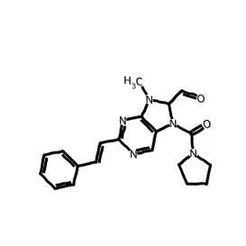 CN1c2nc(/C=C/c3ccccc3)ncc2N(C(=O)N2CCCC2)C1C=O